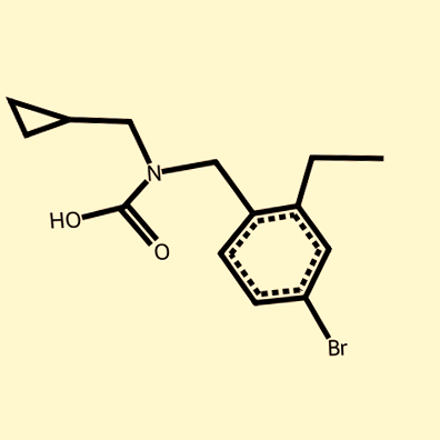 CCc1cc(Br)ccc1CN(CC1CC1)C(=O)O